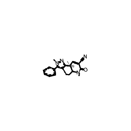 CN1C(=O)C(C#N)=C[C@]2(C)c3nn(C)c(-c4ccccc4)c3CCC12